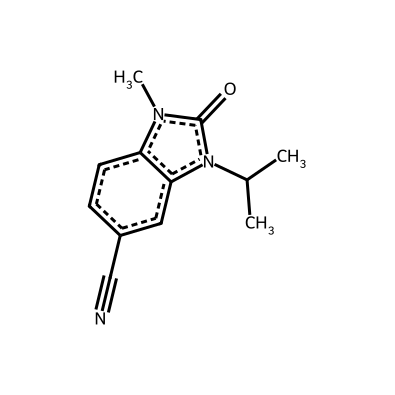 CC(C)n1c(=O)n(C)c2ccc(C#N)cc21